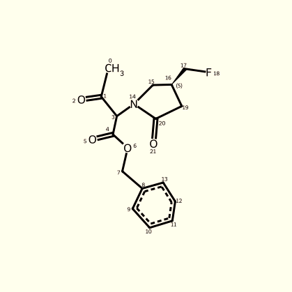 CC(=O)C(C(=O)OCc1ccccc1)N1C[C@@H](CF)CC1=O